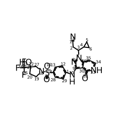 N#CCC(C1CC1)n1nc(Nc2ccc(S(=O)(=O)N3CCC(O)(C(F)(F)F)C3)cc2)c2c(=O)[nH]ccc21